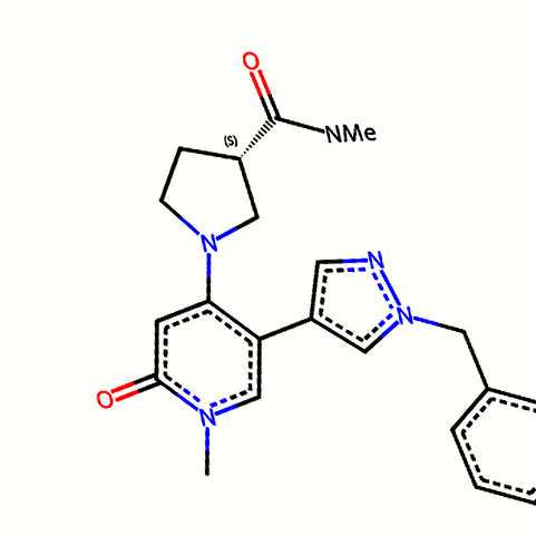 CNC(=O)[C@H]1CCN(c2cc(=O)n(C)cc2-c2cnn(Cc3ccccc3)c2)C1